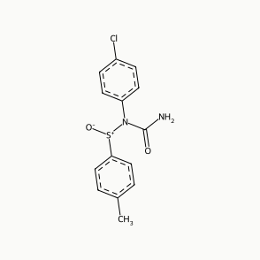 Cc1ccc([S+]([O-])N(C(N)=O)c2ccc(Cl)cc2)cc1